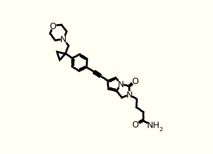 NC(=O)CCCN1Cc2cc(C#Cc3ccc(C4(CN5CCOCC5)CC4)cc3)cn2C1=O